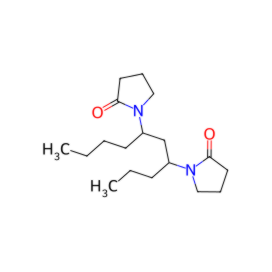 CCCCC(CC(CCC)N1CCCC1=O)N1CCCC1=O